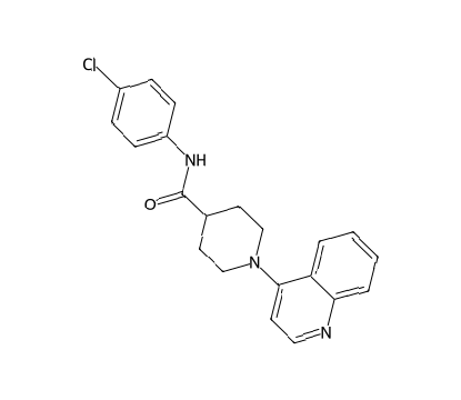 O=C(Nc1ccc(Cl)cc1)C1CCN(c2ccnc3ccccc23)CC1